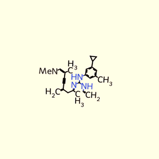 C=CNC(/N=C(\C)CC(=C)C#C/C(C)=C\NC)Nc1cc(C)cc(C2CC2)c1